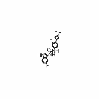 O=C(Nc1ccc(C2CC(F)(F)C2)c(F)c1)Nc1c[nH]c2ccc(F)cc12